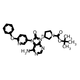 CC(C)(C)OC(=O)N1CC[C@@H](n2c(=O)n(-c3ccc(Oc4ccccc4)nc3)c3c(N)ncnc32)C1